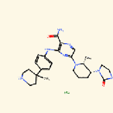 C[C@@H]1[C@H](N2CCN(C)C2=O)CCCN1c1cnc(C(N)=O)c(Nc2ccc(C3(C)CCNCC3)cc2)n1.Cl